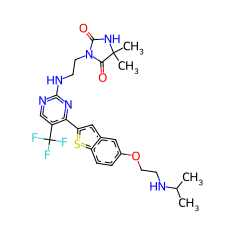 CC(C)NCCOc1ccc2sc(-c3nc(NCCN4C(=O)NC(C)(C)C4=O)ncc3C(F)(F)F)cc2c1